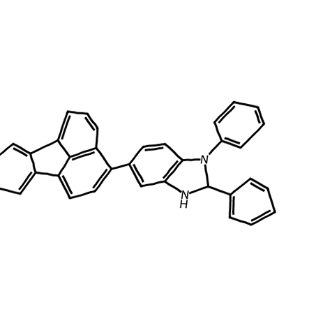 c1ccc(C2Nc3cc(-c4ccc5c6c(cccc46)-c4ccccc4-5)ccc3N2c2ccccc2)cc1